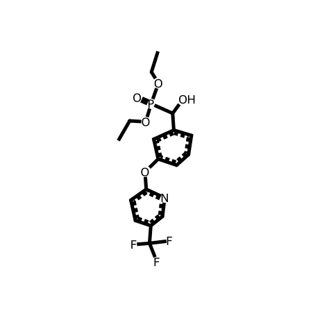 CCOP(=O)(OCC)C(O)c1cccc(Oc2ccc(C(F)(F)F)cn2)c1